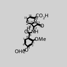 COc1cc(OC=O)ccc1C(=O)NC1C(=O)N2C(C(=O)O)=CCS[C@H]12